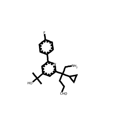 CC(C)(O)c1cc(-c2ccc(F)cc2)nc(C(CN)(CCC=O)C2CC2)c1